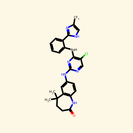 CC1(C)CCC(=O)Nc2ccc(Nc3ncc(Cl)c([AsH]c4ccccc4-c4nc(C(F)(F)F)c[nH]4)n3)cc21